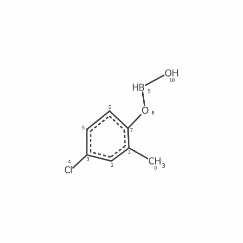 Cc1cc(Cl)ccc1OBO